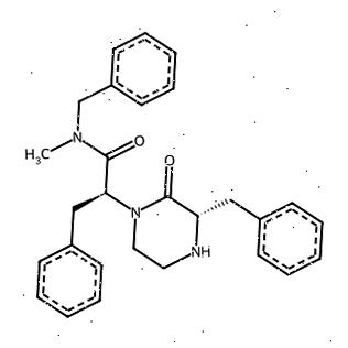 CN(Cc1ccccc1)C(=O)[C@H](Cc1ccccc1)N1CCN[C@@H](Cc2ccccc2)C1=O